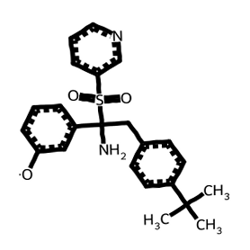 CC(C)(C)c1ccc(CC(N)(c2cccc([O])c2)S(=O)(=O)c2cccnc2)cc1